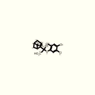 CCC(Oc1cc(Cl)c(Cl)cc1Cl)(C(=O)O)C1=CCC2CC1C2(C)C